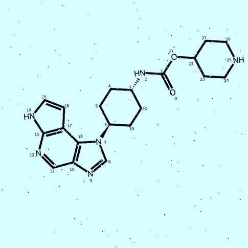 O=C(N[C@H]1CC[C@H](n2cnc3cnc4[nH]ccc4c32)CC1)OC1CCNCC1